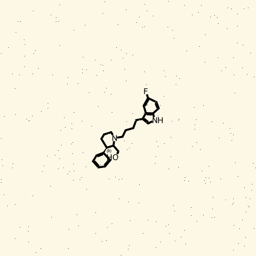 OCC1[C@@H](c2ccccc2)CCCN1CCCCc1c[nH]c2ccc(F)cc12